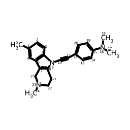 Cc1ccc2c(c1)c1c(n2C#Cc2ccc(N(C)C)cc2)CCN(C)C1